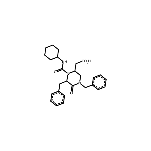 O=C(O)CC1CN(Cc2ccccc2)C(=O)C(Cc2ccccc2)N1C(=O)NC1CCCCC1